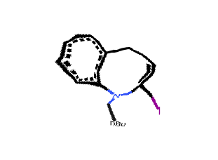 CCCCN1C(I)=CCc2ccccc21